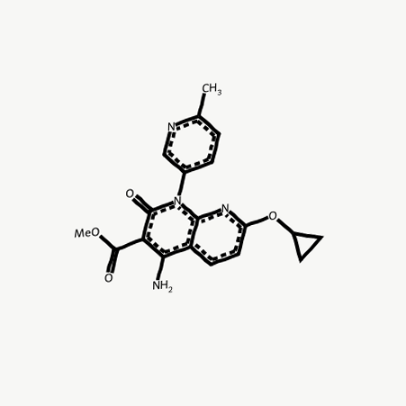 COC(=O)c1c(N)c2ccc(OC3CC3)nc2n(-c2ccc(C)nc2)c1=O